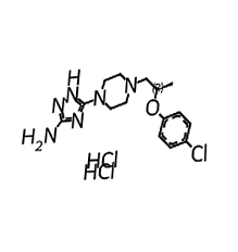 C[C@H](CN1CCN(c2nc(N)n[nH]2)CC1)Oc1ccc(Cl)cc1.Cl.Cl